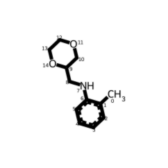 Cc1ccccc1NCC1COCCO1